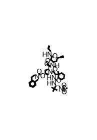 C#CCCC(NC(=O)[C@@H]1C[C@@H](OC(=O)N2CCc3ccccc3C2)CN1C(=O)[C@@H](NC(=O)N[C@H](CN(C)S(C)(=O)=O)C(C)(C)C)C1(C)CCCCC1)C(=O)C(=O)NCC=C